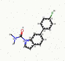 CN(C)C(=O)n1ccc2ccc(-c3ccc(F)cc3)cc21